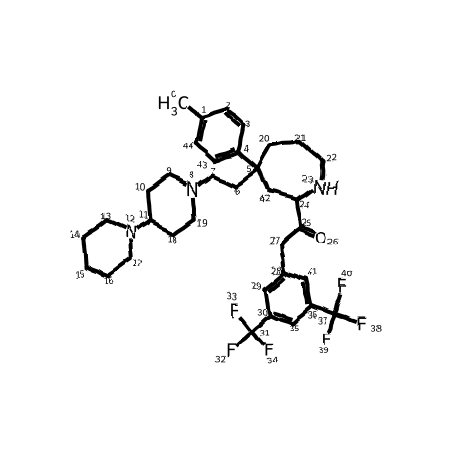 Cc1ccc(C2(CCN3CCC(N4CCCCC4)CC3)CCCNC(C(=O)Cc3cc(C(F)(F)F)cc(C(F)(F)F)c3)C2)cc1